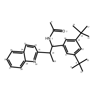 CC(=O)NC(c1cc(C(C)(C)C)cc(C(C)(C)C)c1)C(C)c1ccc2ccccc2n1